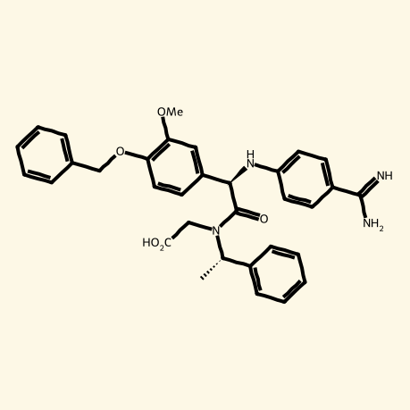 COc1cc([C@@H](Nc2ccc(C(=N)N)cc2)C(=O)N(CC(=O)O)[C@@H](C)c2ccccc2)ccc1OCc1ccccc1